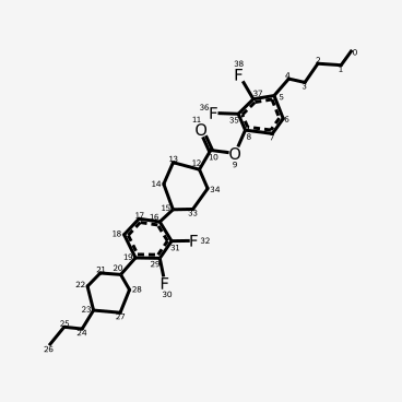 CCCCCc1ccc(OC(=O)C2CCC(c3ccc(C4CCC(CCC)CC4)c(F)c3F)CC2)c(F)c1F